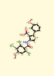 COc1cccc(-c2scc(NC(=O)c3c(Br)cc(OC)c(Br)c3Br)c2C(=O)O)c1